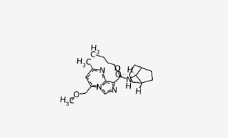 CCCCO[C@@H]1CC2CC[C@H](C1)[C@H]2NC(=O)c1ncn2c(COC)cc(C)nc12